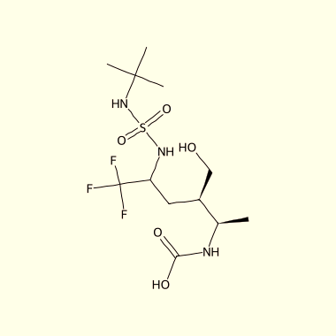 C[C@@H](NC(=O)O)[C@H](CO)CC(NS(=O)(=O)NC(C)(C)C)C(F)(F)F